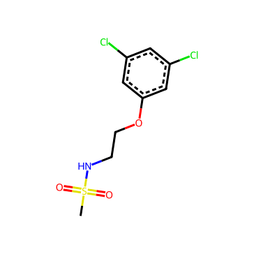 CS(=O)(=O)NCCOc1cc(Cl)cc(Cl)c1